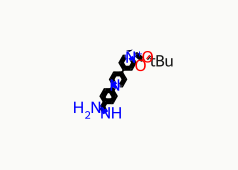 CC(C)(C)OC(=O)C[N@+]1(C)CC[C@@H](C2CCN(c3ccc(C(=N)N)cc3)CC2)CC1